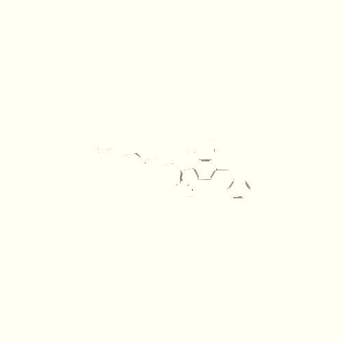 COc1c(Cc2ccccc2)cc2[nH]c(C)c(CCON=CCCO)c2c1Cl